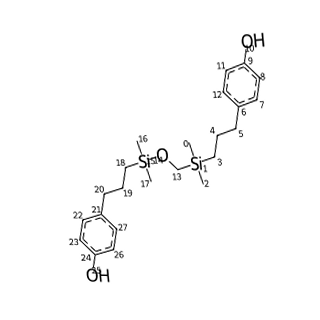 C[Si](C)(CCCc1ccc(O)cc1)CO[Si](C)(C)CCCc1ccc(O)cc1